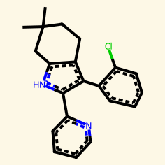 CC1(C)CCc2c([nH]c(-c3ccccn3)c2-c2ccccc2Cl)C1